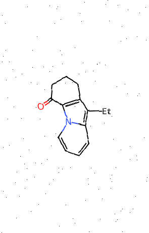 CCc1c2c(n3ccccc13)C(=O)CCC2